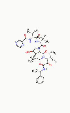 C=C(CC)C(C(=O)C(=O)N[C@@H](C)c1ccccc1)N(CCC)C(=O)C1[C@@H](C)[C@@H](O)CN1C(=O)C(NC(=O)[C@H](NC(=O)c1cnccn1)C(C)C)C(C)(C)C